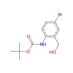 CC(C)(C)OC(=O)Nc1ccc(Br)cc1CO